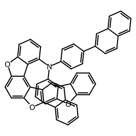 c1ccc2cc(-c3ccc(N(c4cccc5oc6ccccc6c45)c4cccc5oc6ccc7oc8c9ccccc9ccc8c7c6c45)cc3)ccc2c1